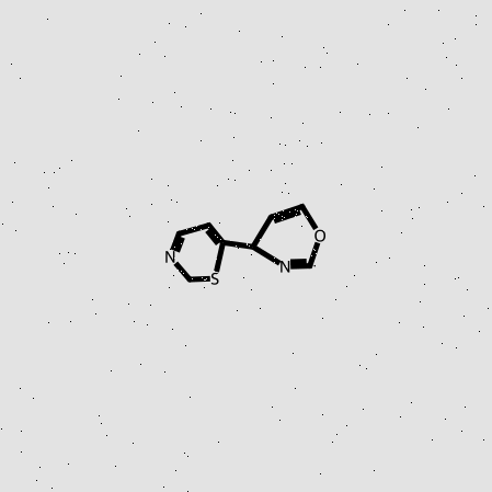 [C]1=NC(C2=CC=NCS2)C=CO1